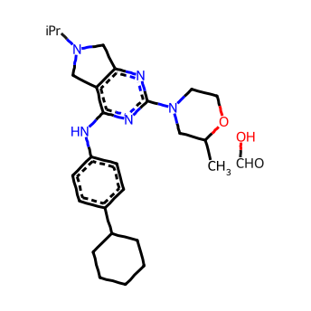 CC1CN(c2nc3c(c(Nc4ccc(C5CCCCC5)cc4)n2)CN(C(C)C)C3)CCO1.O=CO